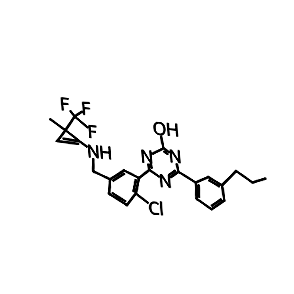 CCCc1cccc(-c2nc(O)nc(-c3cc(CNC4=CC4(C)C(F)(F)F)ccc3Cl)n2)c1